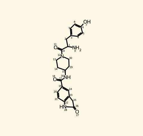 NC(Cc1ccc(O)cc1)C(=O)N1CCC(NC(=O)c2ccc3c(c2)CC(=O)N3)CC1